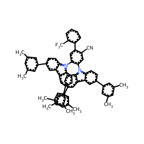 Cc1cc(C)cc(-c2ccc3c(c2)c2cc(-c4cc(C)cc(C)c4)ccc2n3-c2cc(C#N)c(-c3ccccc3C(F)(F)F)cc2-n2c3ccc(-c4cc(C)cc(C)c4)cc3c3cc(-c4cc(C)cc(C)c4)ccc32)c1